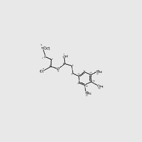 CCCCCCCCSCC(CC)OC(O)CCc1cc(C(C)(C)C)c(O)c(C(C)(C)C)c1